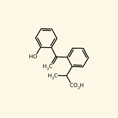 C=C(c1ccccc1O)c1ccccc1C(C)C(=O)O